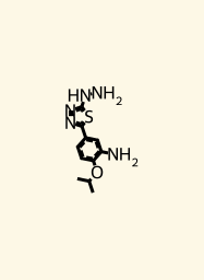 CC(C)Oc1ccc(-c2nnc(NN)s2)cc1N